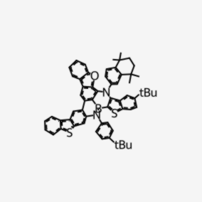 CC(C)(C)c1ccc(N2B3c4sc5ccc(C(C)(C)C)cc5c4N(c4ccc5c(c4)C(C)(C)CCC5(C)C)c4c3c(cc3c4oc4ccccc43)-c3cc4c(cc32)sc2ccccc24)cc1